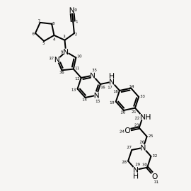 N#CCC(C1CCCC1)n1cc(-c2ccnc(Nc3ccc(NC(=O)CN4CCNC(=O)C4)cc3)n2)cn1